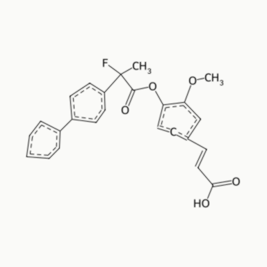 COc1cc(/C=C/C(=O)O)ccc1OC(=O)C(C)(F)c1ccc(-c2ccccc2)cc1